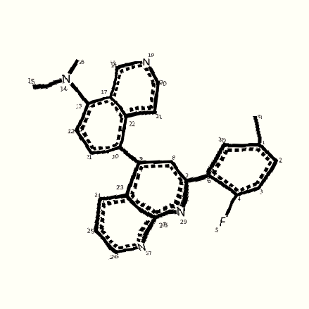 Cc1ccc(F)c(-c2cc(-c3ccc(N(C)C)c4cnccc34)c3cccnc3n2)c1